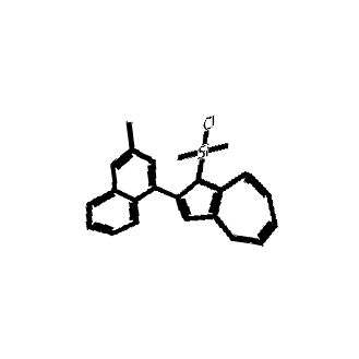 Cc1cc(C2=CC3=C(C=CC=CC3)C2[Si](C)(C)Cl)c2ccccc2c1